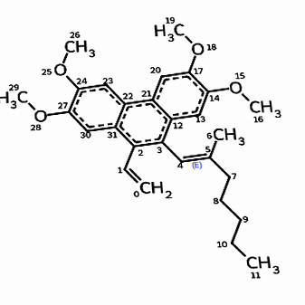 C=Cc1c(/C=C(\C)CCCCC)c2cc(OC)c(OC)cc2c2cc(OC)c(OC)cc12